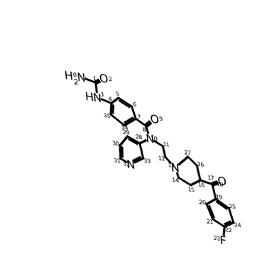 NC(=O)Nc1ccc(C(=O)N(CCN2CCC(C(=O)c3ccc(F)cc3)CC2)c2cccnc2)cc1